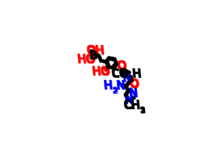 CN1C=NC(C(N)C(=O)N2CC(Oc3ccc(CCB(O)O)c(O)c3C(=O)O)C2)C1